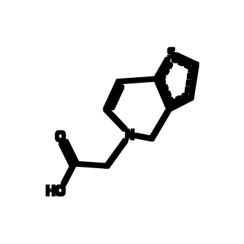 O=C(O)CN1C=Cc2sccc2C1